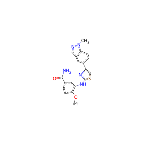 CC(C)Oc1ccc(C(N)=O)cc1Nc1nc(-c2ccc3c(cnn3C)c2)cs1